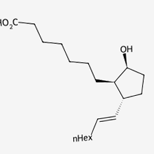 CCCCCCC=C[C@H]1CC[C@H](O)[C@@H]1CCCCCCC(=O)O